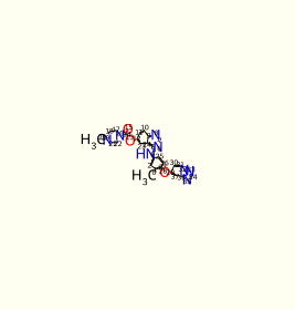 Cc1cc(Nc2ncnc3ccc(OC(=O)N4CCN(C)CC4)cc23)ccc1Oc1ccn2ncnc2c1